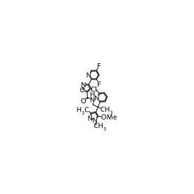 COc1c(C(C)(CNC(=O)c2cc(-c3ncc(F)cc3F)no2)c2cccc(Cl)n2)c(C)nn1C